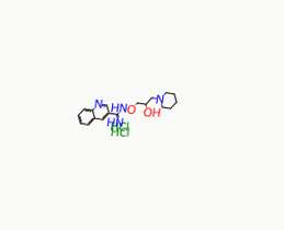 Cl.Cl.N=C(NOCC(O)CN1CCCCC1)c1cnc2ccccc2c1